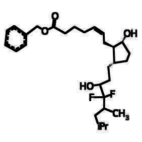 CC(C)CC(C)C(F)(F)C(O)CC[C@H]1CC[C@@H](O)[C@@H]1C/C=C\CCCC(=O)OCc1ccccc1